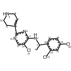 CC(Nc1nc(C2=CCNCC2)ncc1Cl)c1ccc(Cl)cc1Cl